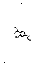 COC(=O)c1ccc(N[C]=O)cc1O